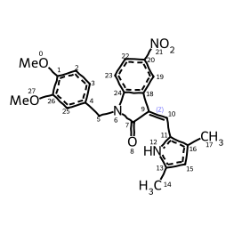 COc1ccc(CN2C(=O)/C(=C\c3[nH]c(C)cc3C)c3cc([N+](=O)[O-])ccc32)cc1OC